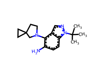 CC(C)(C)n1ncc2c(N3CCC4(CC4)C3)c(N)ccc21